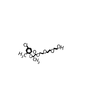 Cc1cc(Cl)ccc1OC(C)C(=O)OCCOCCOCCO